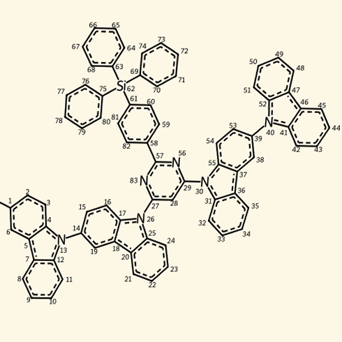 N#Cc1ccc2c(c1)c1ccccc1n2-c1ccc2c(c1)c1ccccc1n2-c1cc(-n2c3ccccc3c3cc(-n4c5ccccc5c5ccccc54)ccc32)nc(-c2ccc([Si](c3ccccc3)(c3ccccc3)c3ccccc3)cc2)n1